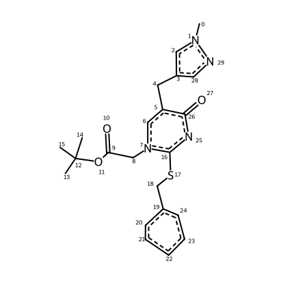 Cn1cc(Cc2cn(CC(=O)OC(C)(C)C)c(SCc3ccccc3)nc2=O)cn1